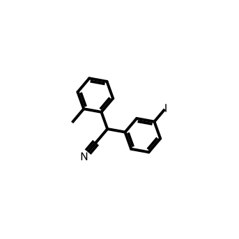 Cc1ccccc1C(C#N)c1cccc(I)c1